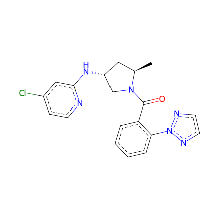 C[C@@H]1C[C@@H](Nc2cc(Cl)ccn2)CN1C(=O)c1ccccc1-n1nccn1